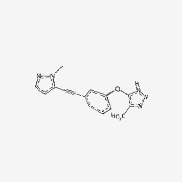 Cn1nccc1C#Cc1cccc(Oc2[nH]nnc2C(=O)O)c1